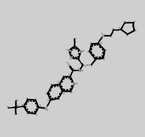 Cc1noc([C@H](Cc2ccc(OCCC3CCCC3)cc2)NC(=O)c2cc3ccc(Oc4ccc(C(C)(C)C)cc4)cc3cn2)n1